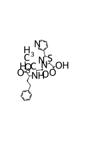 CCOC(=O)[C@H](CCc1ccccc1)N[C@@H](C)C(=O)N1N=C(c2cccnc2)SC1C(=O)O